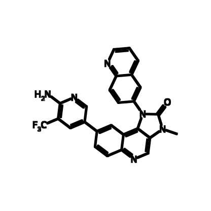 Cn1c(=O)n(-c2ccc3ncccc3c2)c2c3cc(-c4cnc(N)c(C(F)(F)F)c4)ccc3ncc21